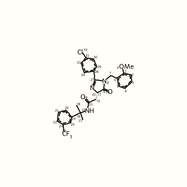 COc1ccccc1CN1C(=O)[C@H](CC(=O)NC(C)(C)c2cccc(C(F)(F)F)c2)N=C1c1ccc(Cl)cc1